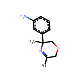 [2H]C1=NC(C)(c2cccc(N)c2)COC1